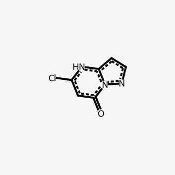 O=c1cc(Cl)[nH]c2ccnn12